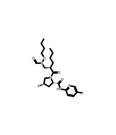 CCCCON(C=O)C[C@@H](CCCC)C(=O)N1C[C@H](F)C[C@H]1C(=O)Nc1ccc(F)cn1